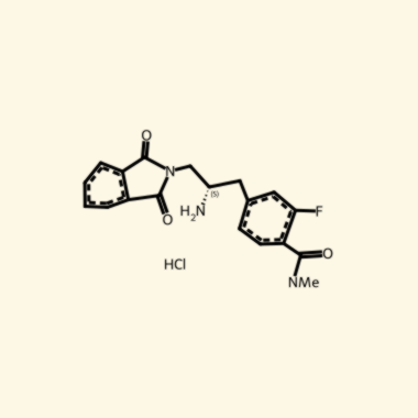 CNC(=O)c1ccc(C[C@H](N)CN2C(=O)c3ccccc3C2=O)cc1F.Cl